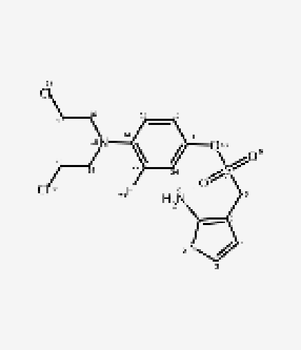 Nc1sccc1CS(=O)(=O)Oc1ccc(N(CCCl)CCCl)c(F)c1